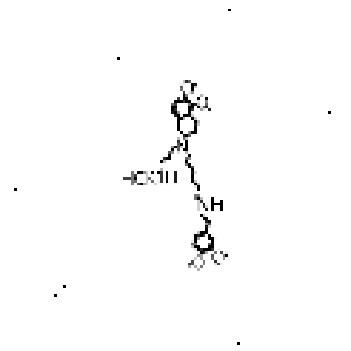 CCCN(CCCCCCNCCc1ccc(OC)c(OC)c1)C1CCc2c(ccc(OC)c2OC)C1.Cl.Cl